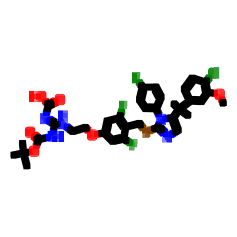 COc1cc(C(C)(C)c2cnc(SCc3c(F)cc(OCCN/C(=N\C(=O)O)NC(=O)OC(C)(C)C)cc3F)n2-c2ccc(F)cc2)ccc1Cl